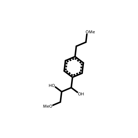 COCCc1ccc(C(O)C(O)COC)cc1